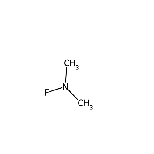 CN(C)F